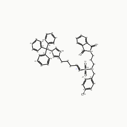 O=C1c2ccccc2C(=O)N1CCCN(Cc1ccc(Cl)cc1)S(=O)(=O)/C=C/CCCc1cn(C(c2ccccc2)(c2ccccc2)c2ccccc2)cn1